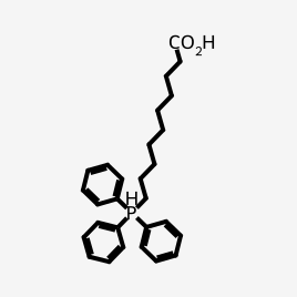 O=C(O)CCCCCCCCC[PH](c1ccccc1)(c1ccccc1)c1ccccc1